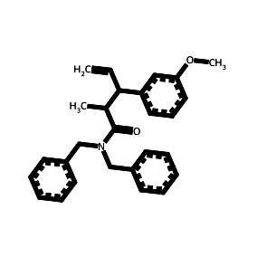 C=CC(c1cccc(OC)c1)C(C)C(=O)N(Cc1ccccc1)Cc1ccccc1